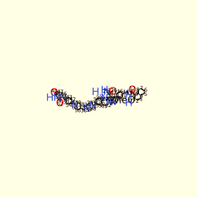 COc1ccc2ccccc2c1C(=O)NCc1ccc(-c2nn3c(c2C(N)=O)Nc2ccc(N4CCN(CC5CCN(c6ccc(N7CCC(=O)NC7=O)cc6)CC5)CC4)cc2CC3)cc1